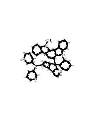 Cn1c2ccccc2c2cc3c4c(c5ccccc5n4-c4ccccc4C34c3ccccc3-c3cc(N(c5cccnc5)c5cccnc5)ccc34)c21